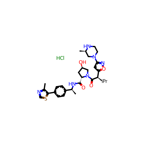 Cc1ncsc1-c1ccc([C@H](C)NC(=O)[C@@H]2C[C@@H](O)CN2C(=O)[C@@H](c2cc(N3CCN[C@H](C)C3)no2)C(C)C)cc1.Cl